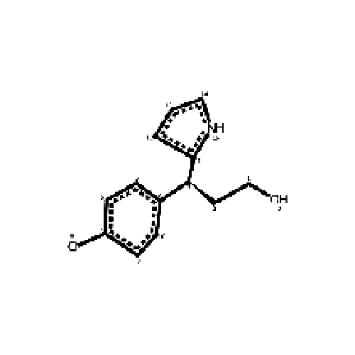 OCC[C@@H](c1ccc(Cl)cc1)c1ccc[nH]1